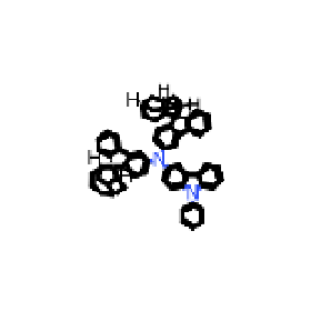 c1ccc(-n2c3ccccc3c3cc(N(c4ccc5c(c4)-c4ccccc4[C@]54[C@H]5CCCC6C[C@@H]4C6C5)c4ccc5c(c4)-c4ccccc4[C@@]54[C@@H]5C[C@H]6CC[C@@H]4[C@@H](C6)C5)ccc32)cc1